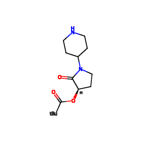 CC(C)(C)C(=O)O[C@@H]1CCN(C2CCNCC2)C1=O